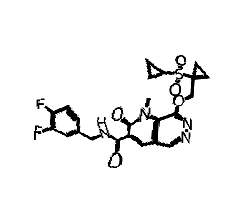 Cn1c(=O)c(C(=O)NCc2ccc(F)c(F)c2)cc2cnnc(OCC3(S(=O)(=O)C4CC4)CC3)c21